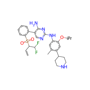 C=CC(C(F)F)S(=O)(=O)c1ccccc1-c1cnc(Nc2cc(C)c(C3CCNCC3)cc2OC(C)C)nc1N